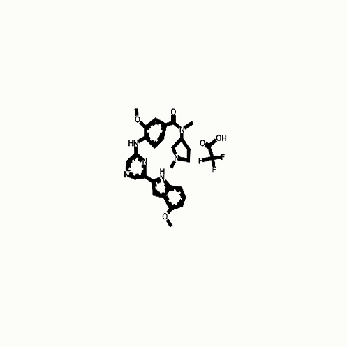 COc1cc(C(=O)N(C)C2CCN(C)C2)ccc1Nc1cncc(-c2cc3c(OC)cccc3[nH]2)n1.O=C(O)C(F)(F)F